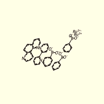 [O-]B([O-])c1ccccc1.[O-]B([O-])c1ccccc1.[O-]B([O-])c1ccccc1.[Ru+3].[Ru+3].c1ccc(-c2ccccn2)nc1.c1cnc2c(c1)ccc1ncccc12